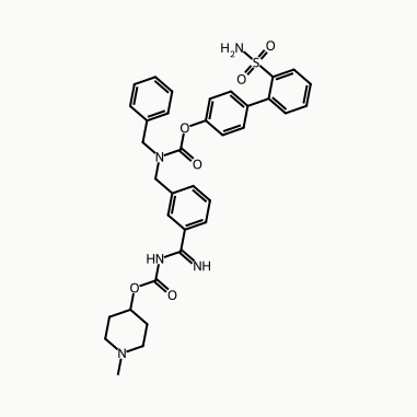 CN1CCC(OC(=O)NC(=N)c2cccc(CN(Cc3ccccc3)C(=O)Oc3ccc(-c4ccccc4S(N)(=O)=O)cc3)c2)CC1